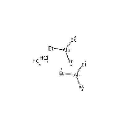 C[CH2][Al]([CH2]C)[CH2]C.C[CH2][Al]([CH2]C)[CH2]C.Cl.Cl